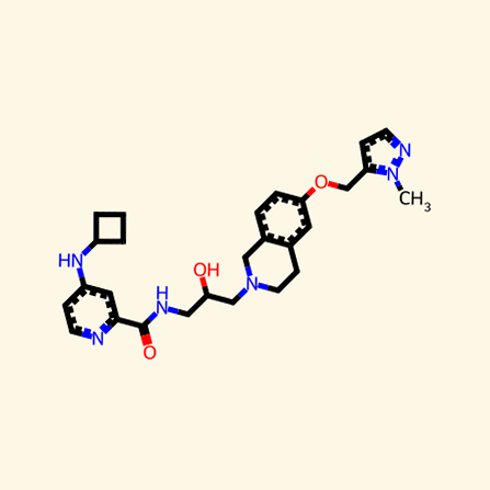 Cn1nccc1COc1ccc2c(c1)CCN(CC(O)CNC(=O)c1cc(NC3CCC3)ccn1)C2